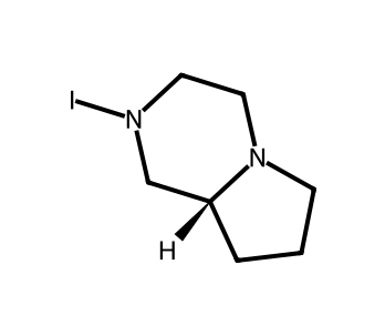 IN1CCN2CCC[C@@H]2C1